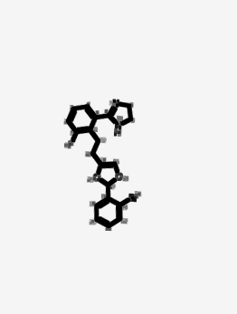 Fc1cccc(C2=NCCN2)c1CCC1=COC(c2ccccc2Br)O1